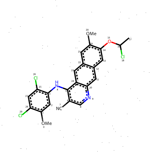 COc1cc(Nc2c(C#N)cnc3cc4cc(OC(C)Cl)c(OC)cc4cc23)c(Cl)cc1Cl